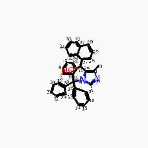 Cc1ncn(C(c2ccccc2)(c2ccccc2)c2ccccc2)c1C(O)c1cccc2ccccc12